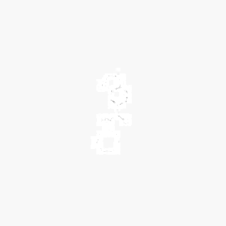 O=C(NC1CCCCCC1)c1ccc2c(c1)OCO2